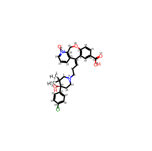 CC1(C)CN(CCC=C2c3cc(C(=O)O)ccc3OCc3c2ccc[n+]3[O-])CC[C@]1(O)c1ccc(Cl)cc1